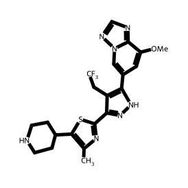 COc1cc(-c2[nH]nc(-c3nc(C)c(C4CCNCC4)s3)c2CC(F)(F)F)cn2ncnc12